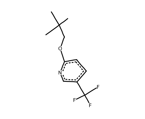 CC(C)(C)COc1ccc(C(F)(F)F)cn1